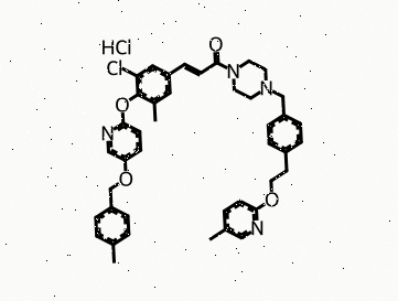 Cc1ccc(COc2ccc(Oc3c(C)cc(C=CC(=O)N4CCN(Cc5ccc(CCOc6ccc(C)cn6)cc5)CC4)cc3Cl)nc2)cc1.Cl